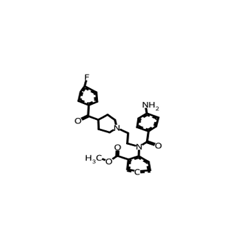 COC(=O)c1ccccc1N(CCN1CCC(C(=O)c2ccc(F)cc2)CC1)C(=O)c1ccc(N)cc1